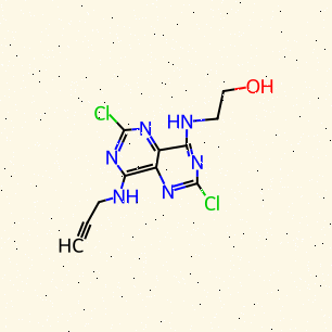 C#CCNc1nc(Cl)nc2c(NCCO)nc(Cl)nc12